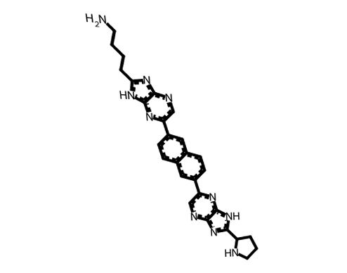 NCCCCc1nc2ncc(-c3ccc4cc(-c5cnc6nc(C7CCCN7)[nH]c6n5)ccc4c3)nc2[nH]1